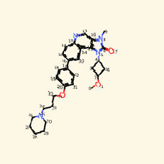 COC1CC(n2c(=O)n(C)c3cnc4ccc(-c5ccc(OCCCN6CCCCC6)cc5)cc4c32)C1